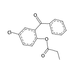 CCC(=O)Oc1ccc(Cl)cc1C(=O)c1ccccc1